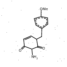 COc1ccc(CC2C=CC(=O)C(N)C2=O)cc1